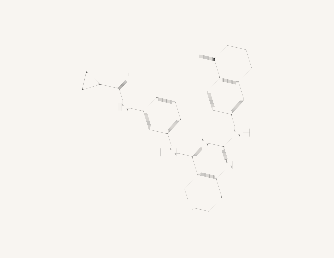 O=C1CCCc2cc(Nc3nc4c(c(Nc5cccc(NC(=O)C6CC6)c5)n3)CSCC4)ccc21